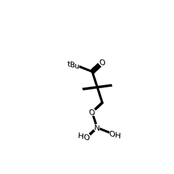 CC(C)(C)C(=O)C(C)(C)CON(O)O